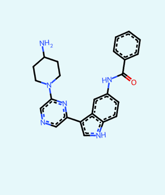 NC1CCN(c2cncc(-c3c[nH]c4ccc(NC(=O)c5ccccc5)cc34)n2)CC1